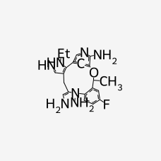 CCN/C1=C(\C=N)C/C(=C/N)N(N)c2ccc(F)cc2C(C)Oc2cc1cnc2N